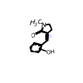 CN1CC/C(=C/c2ccccc2O)C1=O